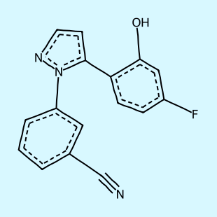 N#Cc1cccc(-n2nccc2-c2ccc(F)cc2O)c1